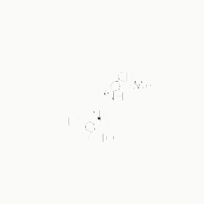 COc1cc(NC(=O)C2CCC(N3Cc4c(C)cc(C=O)cc4C3=O)CC2)ccc1C